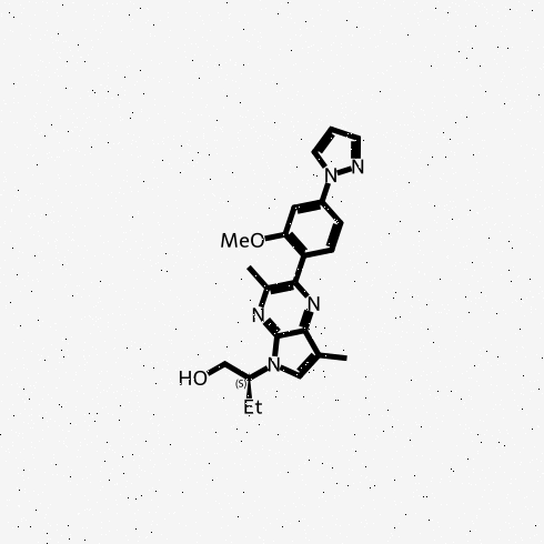 CC[C@@H](CO)n1cc(C)c2nc(-c3ccc(-n4cccn4)cc3OC)c(C)nc21